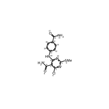 CSc1nc(Cl)c(C(N)=O)c(Nc2ccc(C(N)=O)cc2)n1